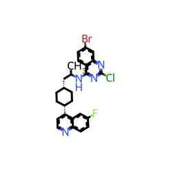 CC(C[C@H]1CC[C@@H](c2ccnc3ccc(F)cc32)CC1)Nc1nc(Cl)nc2cc(Br)ccc12